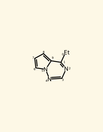 CCc1ncnn2cccc12